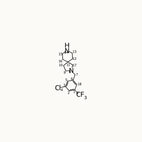 FC(F)(F)c1cc(Cl)cc(CN2CCC3(CCNCC3)C2)c1